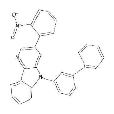 O=[N+]([O-])c1ccccc1-c1cnc2c3ccccc3n(-c3cccc(-c4ccccc4)c3)c2c1